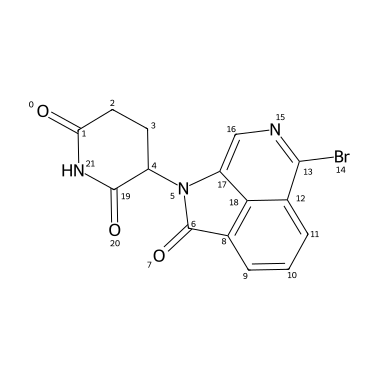 O=C1CCC(N2C(=O)c3cccc4c(Br)ncc2c34)C(=O)N1